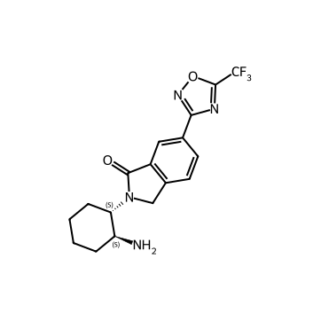 N[C@H]1CCCC[C@@H]1N1Cc2ccc(-c3noc(C(F)(F)F)n3)cc2C1=O